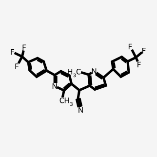 Cc1nc(-c2ccc(C(F)(F)F)cc2)ccc1C(C#N)c1ccc(-c2ccc(C(F)(F)F)cc2)nc1C